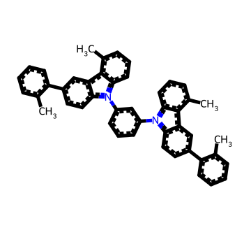 Cc1ccccc1-c1ccc2c(c1)c1c(C)cccc1n2-c1cccc(-n2c3ccc(-c4ccccc4C)cc3c3c(C)cccc32)c1